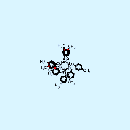 Cc1ccc(OP2(Oc3ccc(C)cc3)=NP(Oc3ccc(C)cc3)(Oc3ccc(C)cc3)=NP(Oc3ccc(C)cc3)(Oc3ccc(C)cc3)=NP(Oc3ccc(C)cc3)(Oc3ccc(C)cc3)=N2)cc1